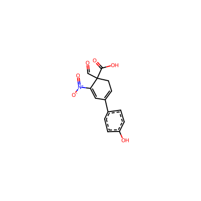 O=CC1(C(=O)O)CC=C(c2ccc(O)cc2)C=C1[N+](=O)[O-]